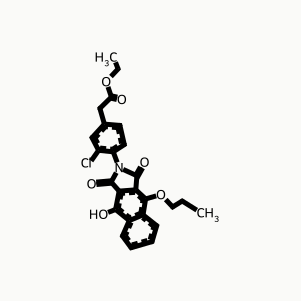 CCCOc1c2c(c(O)c3ccccc13)C(=O)N(c1ccc(CC(=O)OCC)cc1Cl)C2=O